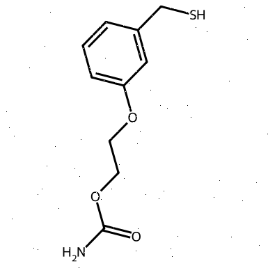 NC(=O)OCCOc1cccc(CS)c1